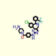 NC1CCN(C(=O)c2ccc(Nc3ncc4c(n3)-c3ccc(Cl)cc3C(c3ccccc3C(F)(F)F)=NC4)cc2)CC1